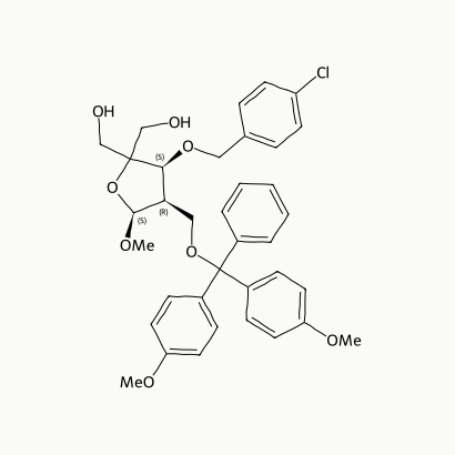 COc1ccc(C(OC[C@H]2[C@@H](OC)OC(CO)(CO)[C@H]2OCc2ccc(Cl)cc2)(c2ccccc2)c2ccc(OC)cc2)cc1